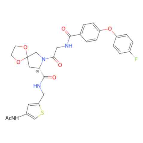 CC(=O)Nc1csc(CNC(=O)[C@@H]2CC3(CN2C(=O)CNC(=O)c2ccc(Oc4ccc(F)cc4)cc2)OCCO3)c1